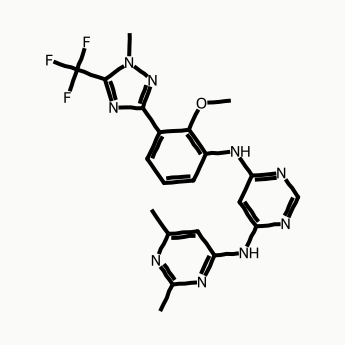 COc1c(Nc2cc(Nc3cc(C)nc(C)n3)ncn2)cccc1-c1nc(C(F)(F)F)n(C)n1